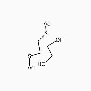 CC(=O)SCCSC(C)=O.OCCO